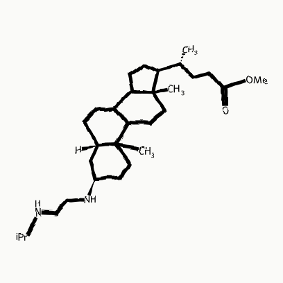 COC(=O)CC[C@@H](C)C1CCC2C3CC[C@H]4C[C@H](NCCNC(C)C)CCC4(C)C3CCC21C